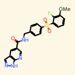 COc1cccc(S(=O)(=O)c2ccc(CNC(=O)c3cnc4[nH]ncc4c3)cc2)c1F